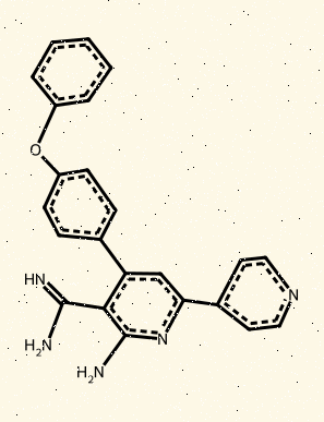 N=C(N)c1c(-c2ccc(Oc3ccccc3)cc2)cc(-c2ccncc2)nc1N